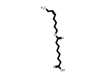 CC/C=C\CCCCOC(=O)CCCCCCC(=O)O